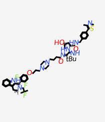 Cc1ncsc1-c1ccc(CNC(=O)[C@@H]2C[C@@H](O)CN2C(=N)[C@@H](NC(=O)CCCN2CCN(CCCOc3cc(F)c([C@@H]4c5[nH]c6ccccc6c5C[C@@H](C)N4CC(C)(C)F)c(F)c3)CC2)C(C)(C)C)cc1